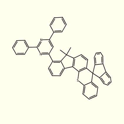 CC1(C)c2ccc3c(c2-c2cccc(-c4cc(-c5ccccc5)nc(-c5ccccc5)n4)c21)Sc1ccccc1C31c2ccccc2-c2ccccc21